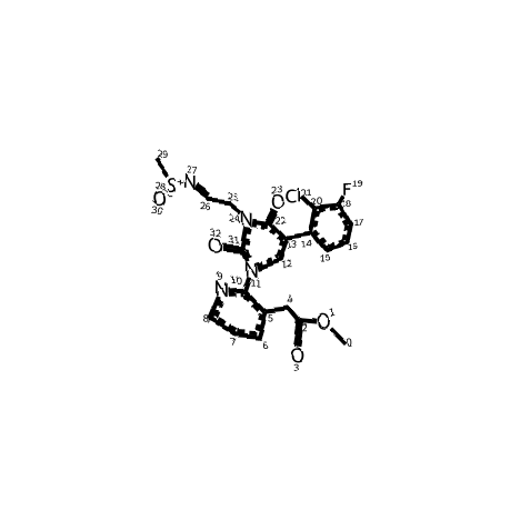 COC(=O)Cc1cccnc1-n1cc(-c2cccc(F)c2Cl)c(=O)n(CC=N[S+](C)[O-])c1=O